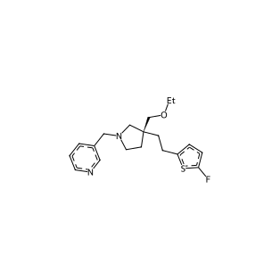 CCOC[C@@]1(CCc2ccc(F)s2)CCN(Cc2cccnc2)C1